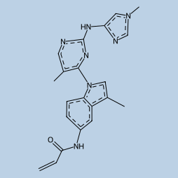 C=CC(=O)Nc1ccc2c(c1)c(C)cn2-c1nc(Nc2cn(C)cn2)ncc1C